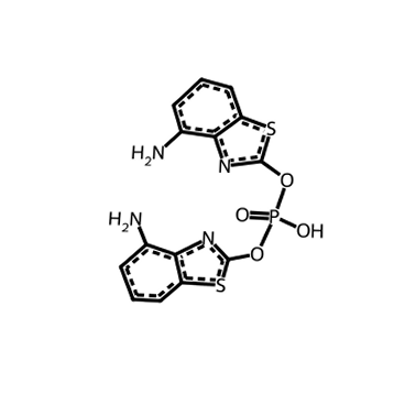 Nc1cccc2sc(OP(=O)(O)Oc3nc4c(N)cccc4s3)nc12